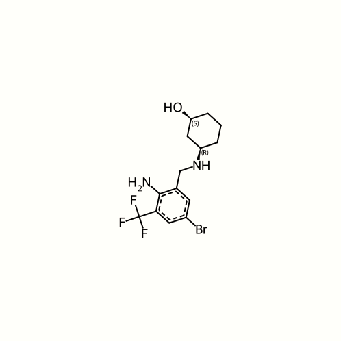 Nc1c(CN[C@@H]2CCC[C@H](O)C2)cc(Br)cc1C(F)(F)F